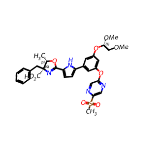 COC[C@@H](OC)Oc1cc(Oc2cnc(S(C)(=O)=O)cn2)cc(-c2ccc(C3=N[C@](Cc4ccccc4)(C(=O)O)[C@H](C)O3)[nH]2)c1